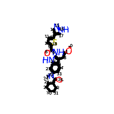 COCCc1c(NC(=O)c2ccc(-c3cn[nH]c3)s2)[nH]c2cc(N(C)C(=O)C3CCCCC3)ccc12